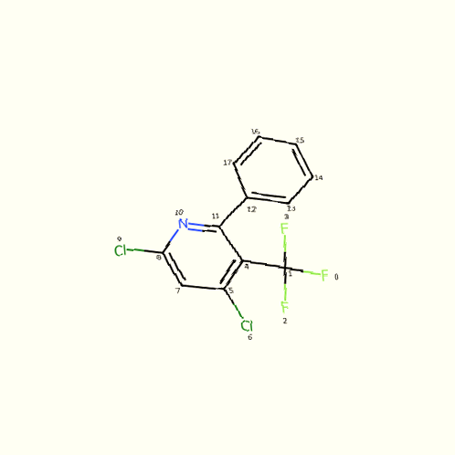 FC(F)(F)c1c(Cl)cc(Cl)nc1-c1ccccc1